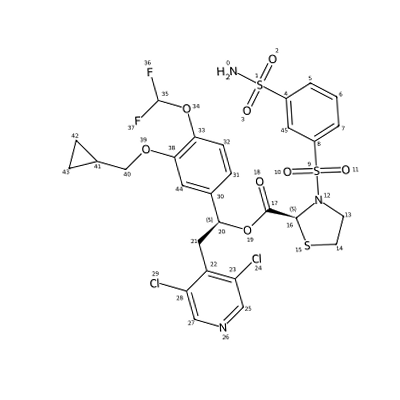 NS(=O)(=O)c1cccc(S(=O)(=O)N2CCS[C@H]2C(=O)O[C@@H](Cc2c(Cl)cncc2Cl)c2ccc(OC(F)F)c(OCC3CC3)c2)c1